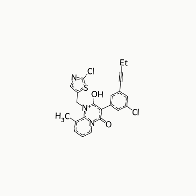 CCC#Cc1cc(Cl)cc(-c2c(O)[n+](Cc3cnc(Cl)s3)c3c(C)cccn3c2=O)c1